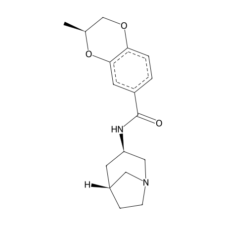 C[C@H]1COc2ccc(C(=O)N[C@@H]3C[C@H]4CCN(C4)C3)cc2O1